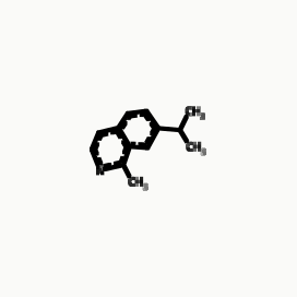 Cc1nccc2ccc(C(C)C)cc12